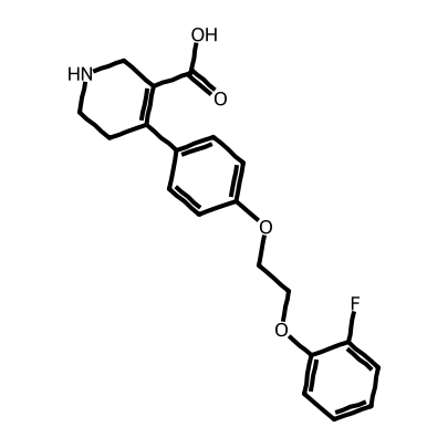 O=C(O)C1=C(c2ccc(OCCOc3ccccc3F)cc2)CCNC1